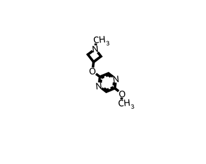 COc1cnc(OC2CN(C)C2)cn1